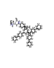 C=C/C=C(\CC/C=C\CC)c1ccc(Nc2cc(-c3ccc(-c4ccccc4)cc3)cc(N(c3ccc(-c4ccccc4)cc3)c3ccc(-c4ccccc4)cc3)c2)cc1